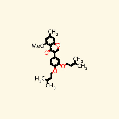 COc1cc(C)cc2occ(-c3ccc(OCC=C(C)C)c(OCC=C(C)C)c3)c(=O)c12